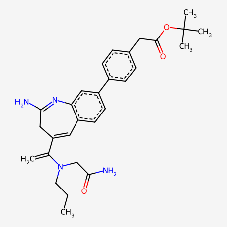 C=C(C1=Cc2ccc(-c3ccc(CC(=O)OC(C)(C)C)cc3)cc2N=C(N)C1)N(CCC)CC(N)=O